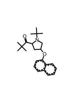 CC(C)(C)C(=O)C1CC(Oc2cccc3ccccc23)CN1C(C)(C)C